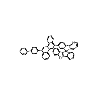 c1ccc(-c2ccc(-c3cc4c5ccccc5c(-c5ccc6c(c5)C5(c7ccccc7-c7oc8ccccc8c75)c5cccnc5-6)cc4c4ccccc34)cc2)cc1